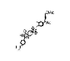 CC(=O)OCC#CN(C(C)=O)c1ccc(CCS(=O)(=O)N2CCC3(CC2)N=C(c2ccc(C(F)(F)F)cc2)NC3=O)c(C)c1